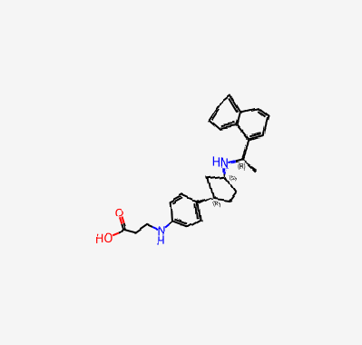 C[C@@H](N[C@H]1CC[C@@H](c2ccc(NCCC(=O)O)cc2)C1)c1cccc2ccccc12